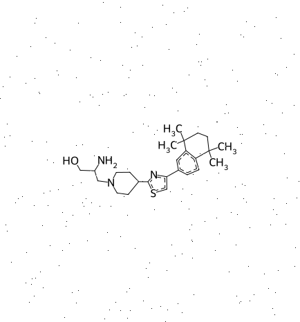 CC1(C)CCC(C)(C)c2cc(-c3csc(C4CCN(CC(N)CO)CC4)n3)ccc21